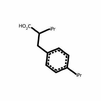 CC(C)c1ccc(CC(C(=O)O)C(C)C)cc1